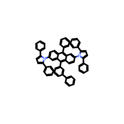 c1ccc(-c2cccc(-c3c4ccc(-n5c(-c6ccccc6)ccc5-c5ccccc5)cc4c(-c4ccccc4)c4ccc(-n5c(-c6ccccc6)ccc5-c5ccccc5)cc34)c2)cc1